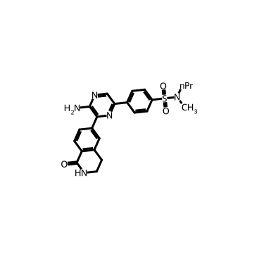 CCCN(C)S(=O)(=O)c1ccc(-c2cnc(N)c(-c3ccc4c(c3)CCNC4=O)n2)cc1